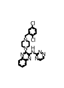 Clc1ccc(Cl)c(CN2CCN(c3nc4ccccc4nc3Nc3nccnn3)CC2)c1